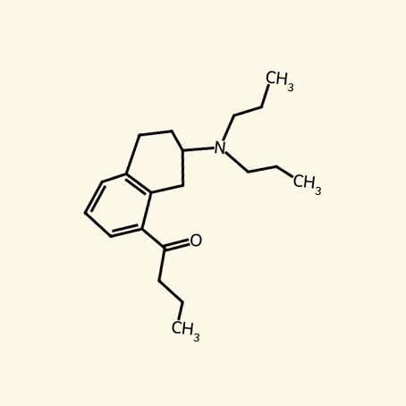 CCCC(=O)c1cccc2c1CC(N(CCC)CCC)CC2